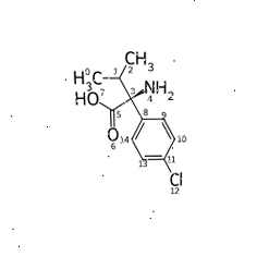 CC(C)[C@@](N)(C(=O)O)c1ccc(Cl)cc1